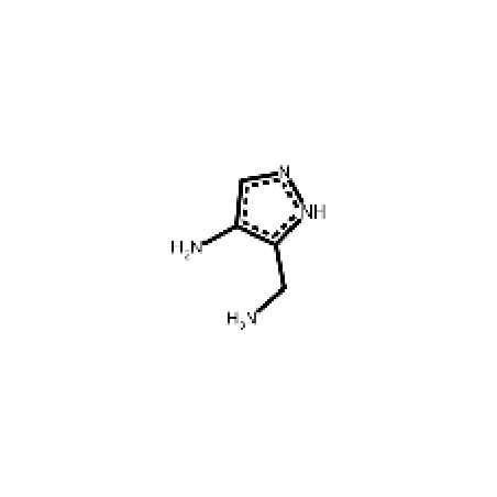 NCc1[nH]ncc1N